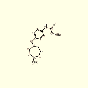 CC(C)(C)OC(=O)Nc1ccc(SC2CCCC(C=O)CC2)cc1